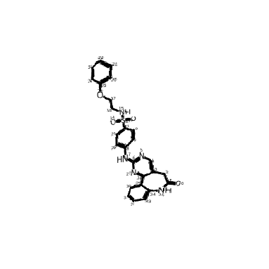 O=C1Cc2cnc(Nc3ccc(S(=O)(=O)NCCOc4ccccc4)cc3)nc2-c2ccccc2N1